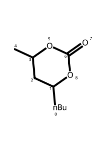 CCCCC1CC(C)OC(=O)O1